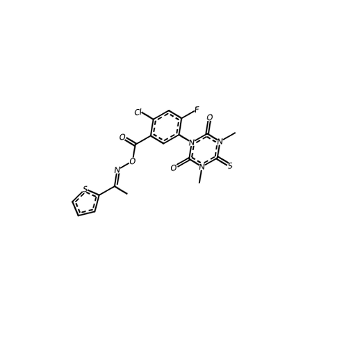 C/C(=N\OC(=O)c1cc(-n2c(=O)n(C)c(=S)n(C)c2=O)c(F)cc1Cl)c1cccs1